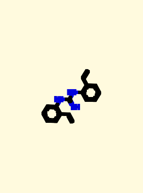 C=Cc1ccccc1NC(=N)Nc1ccccc1C=C